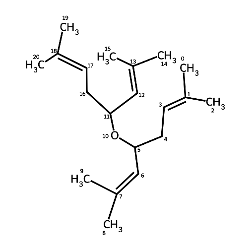 CC(C)=CCC(C=C(C)C)OC(C=C(C)C)CC=C(C)C